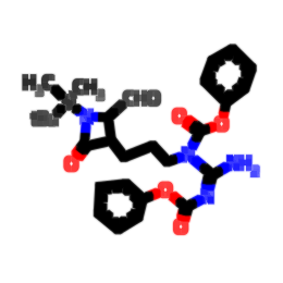 CC(C)(C)[Si](C)(C)N1C(=O)C(CCCN(C(=O)Oc2ccccc2)/C(N)=N\C(=O)Oc2ccccc2)C1C=O